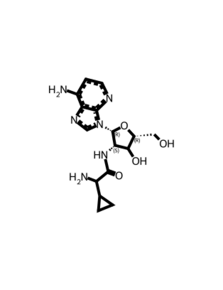 Nc1ccnc2c1ncn2[C@@H]1O[C@H](CO)C(O)[C@@H]1NC(=O)C(N)C1CC1